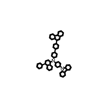 c1ccc(-c2ccc(N(c3ccc(-c4ccc(-c5cc6ccccc6c6ccccc56)cc4)cc3)c3ccc(-n4c5ccccc5c5ccccc54)cc3)c3ccccc23)cc1